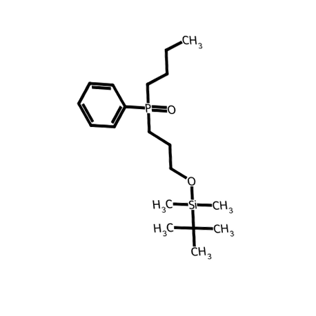 CCCCP(=O)(CCCO[Si](C)(C)C(C)(C)C)c1ccccc1